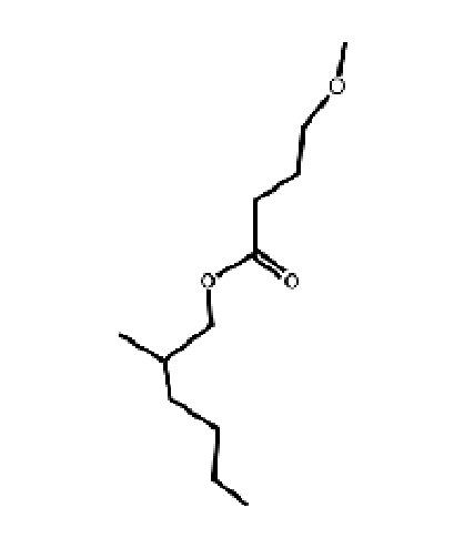 CCCCC(C)COC(=O)CCCOC